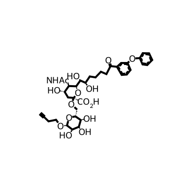 C#CCCO[C@@H]1O[C@H](CO[C@@]2(C(=O)O)C[C@H](O)[C@@H](NC(C)=O)[C@H]([C@H](O)[C@H](O)CCCCC(=O)c3cccc(Oc4ccccc4)c3)O2)[C@H](O)[C@H](O)[C@H]1O